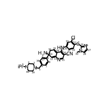 CC(C)N1CCN(Cc2ccc(C3(N)C=c4ncc(C#N)c(Nc5ccc(Sc6nccn6C)c(Cl)c5)c4=CC3)cc2)CC1